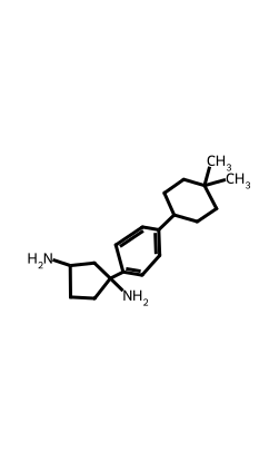 CC1(C)CCC(c2ccc(C3(N)CCC(N)C3)cc2)CC1